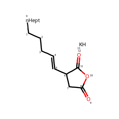 CCCCCCCCCCC=CC1CC(=O)OC1=O.[KH]